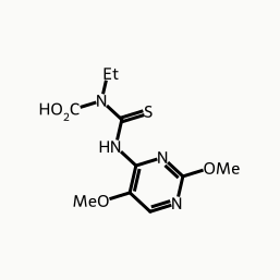 CCN(C(=O)O)C(=S)Nc1nc(OC)ncc1OC